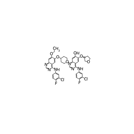 CCOc1cc2ncnc(Nc3ccc(F)c(Cl)c3)c2cc1OC1CCOCC1.Oc1cc2ncnc(Nc3ccc(F)c(Cl)c3)c2cc1O[C@H]1CCOC1